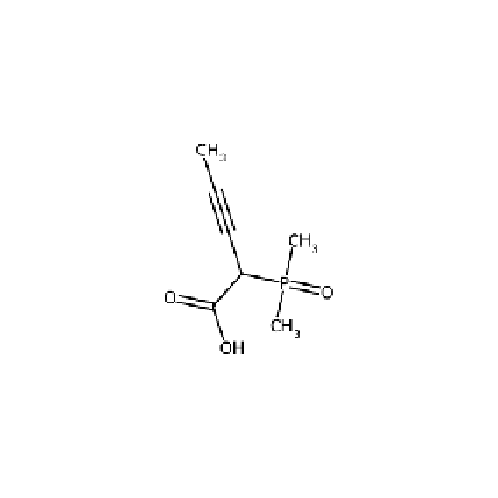 CC#CC(C(=O)O)P(C)(C)=O